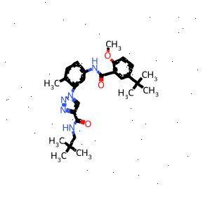 COc1ccc(C(C)(C)C)cc1C(=O)Nc1ccc(C)c(-n2cc(C(=O)NCC(C)(C)C)nn2)c1